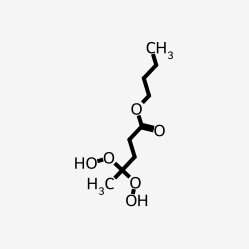 CCCCOC(=O)CCC(C)(OO)OO